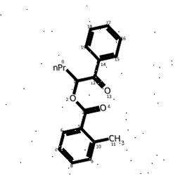 CCCC(OC(=O)c1ccccc1C)C(=O)c1ccccc1